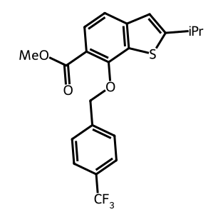 COC(=O)c1ccc2cc(C(C)C)sc2c1OCc1ccc(C(F)(F)F)cc1